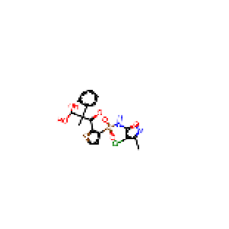 Cc1noc(NS(=O)(=O)c2ccsc2C(=O)C(C)(c2ccccc2)C(O)O)c1Cl